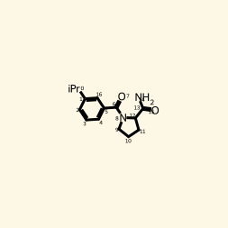 CC(C)c1cccc(C(=O)N2CCCC2C(N)=O)c1